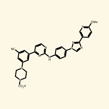 COc1ccc(-c2ncn(-c3ccc(Nc4nccc(-c5cc(C#N)cc(N6CCN(C(=O)O)CC6)c5)n4)cc3)n2)cn1